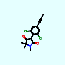 CC#Cc1cc(Cl)c(C2C(=O)N(C)C(C)(C)C2=O)c(Cl)c1